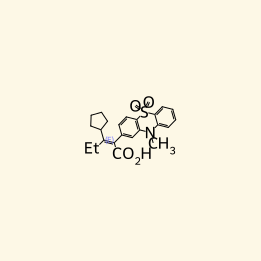 CC/C(=C(\C(=O)O)c1ccc2c(c1)N(C)c1ccccc1S2(=O)=O)C1CCCC1